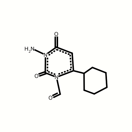 Nn1c(=O)cc(C2CCCCC2)n(C=O)c1=O